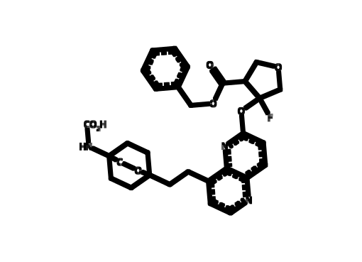 O=C(O)NC12CCC(CCc3ccnc4ccc(OC5(F)COCC5C(=O)OCc5ccccc5)nc34)(CC1)OC2